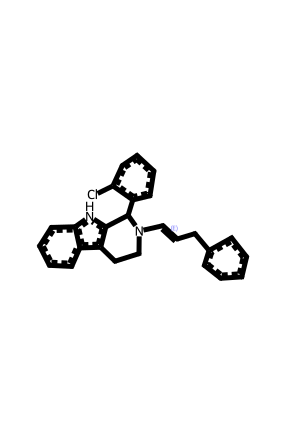 Clc1ccccc1C1c2[nH]c3ccccc3c2CCN1/C=C/Cc1ccccc1